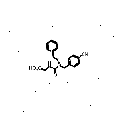 N#Cc1ccc(CN(OCc2ccccc2)C(=O)NCC(=O)O)cc1